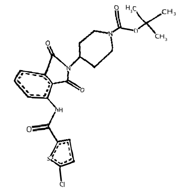 CC(C)(C)OC(=O)N1CCC(N2C(=O)c3cccc(NC(=O)c4ccc(Cl)s4)c3C2=O)CC1